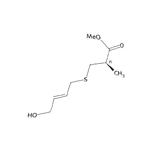 COC(=O)[C@@H](C)CSCC=CCO